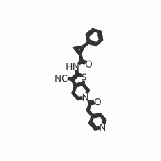 N#Cc1c(NC(=O)C2CC2c2ccccc2)sc2c1CCN(C(=O)Cc1ccncc1)C2